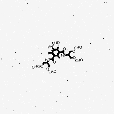 O=CNc1c(I)c(C(=O)NC(COC=O)COC=O)c(I)c(C(=O)NC(COC=O)COC=O)c1I